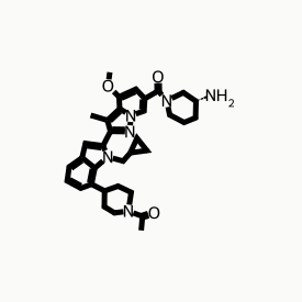 COc1cc(C(=O)N2CCC[C@@H](N)C2)cn2nc(-c3cc4cccc(C5CCN(C(C)=O)CC5)c4n3CC3CC3)c(C)c12